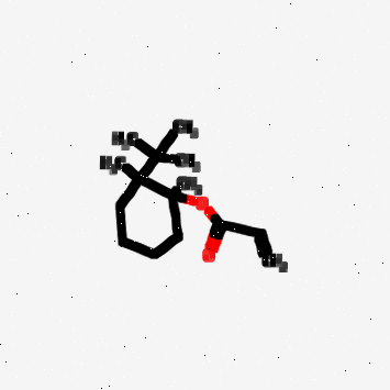 C=CC(=O)OC1(C)CCCCC1(C)C(C)(C)C